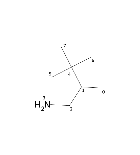 CC(CN)C(C)(C)C